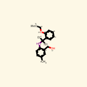 CCC(CC)(Pc1ccc(C)cc1CO)c1ccccc1OCOC